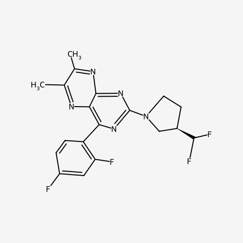 Cc1nc2nc(N3CC[C@@H](C(F)F)C3)nc(-c3ccc(F)cc3F)c2nc1C